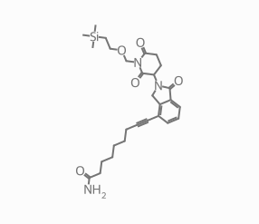 C[Si](C)(C)CCOCN1C(=O)CCC(N2Cc3c(C#CCCCCCCC(N)=O)cccc3C2=O)C1=O